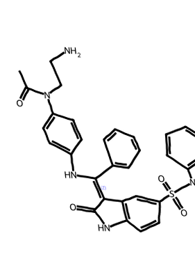 CC(=O)N(CCN)c1ccc(N/C(=C2\C(=O)Nc3ccc(S(=O)(=O)Nc4ccccc4)cc32)c2ccccc2)cc1